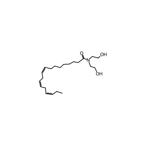 CC/C=C\C/C=C\C/C=C\CCCCCCCC(=O)N(CCO)CCO